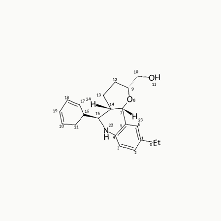 CCc1ccc2c(c1)[C@H]1O[C@@H](CO)CC[C@H]1[C@H](C1C=CC=CC1)N2